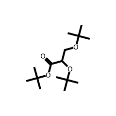 CC(C)(C)OCC(OC(C)(C)C)C(=O)OC(C)(C)C